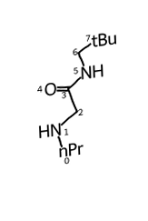 CCCNCC(=O)NCC(C)(C)C